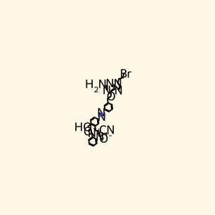 N#Cc1c(-c2cc(/N=N/c3cccc(COc4nc(N)nc5c4ncn5CCBr)c3)ccc2O)[n+]([O-])c2ccccc2[n+]1[O-]